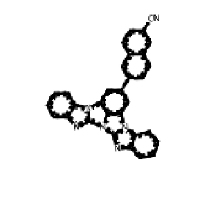 N#Cc1ccc2cc(-c3cc4c5c(c3)n3c6ccccc6nc3n5c3nc5ccccc5n43)ccc2c1